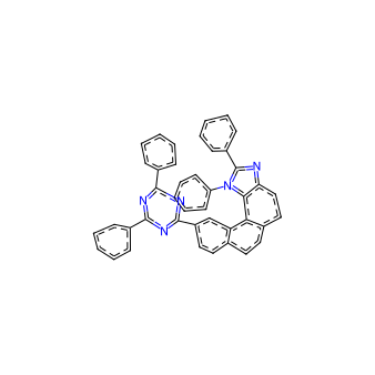 c1ccc(-c2nc(-c3ccccc3)nc(-c3ccc4ccc5ccc6nc(-c7ccccc7)n(-c7ccccc7)c6c5c4c3)n2)cc1